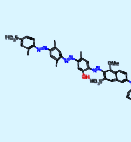 COc1ccc(Nc2ccc3c(OC)c(N=Nc4cc(C)c(N=Nc5cc(C)c(N=Nc6ccc(S(=O)(=O)O)cc6C)cc5C)cc4O)c(S(=O)(=O)O)cc3c2)cc1